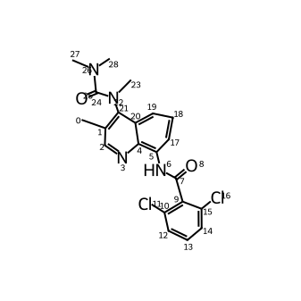 Cc1cnc2c(NC(=O)c3c(Cl)cccc3Cl)cccc2c1N(C)C(=O)N(C)C